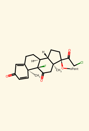 CCCCCO[C@]1(C(=O)CCl)CC[C@H]2[C@@H]3CCC4=CC(=O)C=C[C@]4(C)[C@@]3(F)C(=O)C[C@@]21C